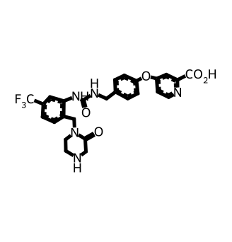 O=C(NCc1ccc(Oc2ccnc(C(=O)O)c2)cc1)Nc1cc(C(F)(F)F)ccc1CN1CCNCC1=O